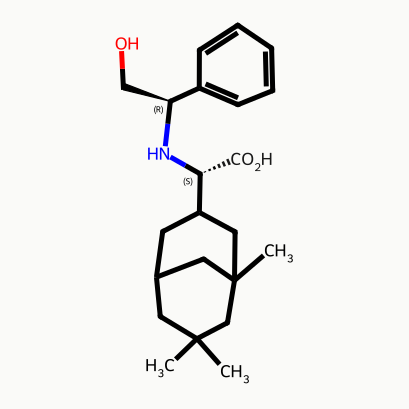 CC1(C)CC2CC([C@H](N[C@@H](CO)c3ccccc3)C(=O)O)CC(C)(C2)C1